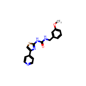 O=C(NCc1cccc(OC(F)(F)F)c1)Nc1nc(-c2ccncc2)cs1